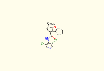 COc1ccc(C(=O)Nc2c(Cl)cncc2Cl)c2c3c(oc12)CCCCC3